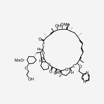 CO[C@@H]1C[C@H](CC2[C@H]3CCCN4C(=O)C(=O)[C@]5(O)O[C@@H](CC[C@H]5C)C[C@H](OCc5cnccn5)/C(C)=C/C=C/C=C/[C@@H](C)C[C@@H](C)C(=O)[C@H](OC)[C@H](O)/C(C)=C/[C@@H](C)C(=O)C[C@@H]2OC(=O)C34)CC[C@H]1OCCO